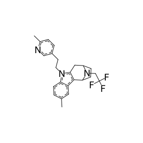 Cc1ccc2c(c1)c1c(n2CCc2ccc(C)nc2)CC2CCC1N2CC(F)(F)F